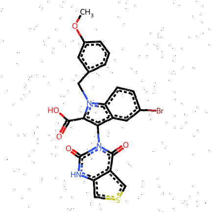 COc1cccc(Cn2c(C(=O)O)c(-n3c(=O)[nH]c4cscc4c3=O)c3cc(Br)ccc32)c1